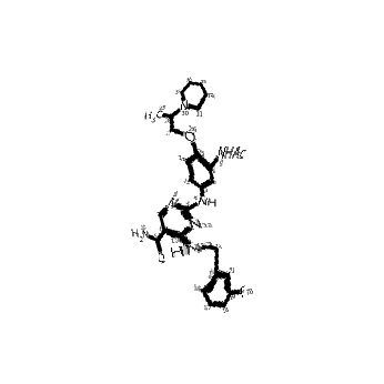 CC(=O)Nc1cc(Nc2ncc(C(N)=O)c(NCc3cccc(F)c3)n2)ccc1OCC(C)N1CCCCC1